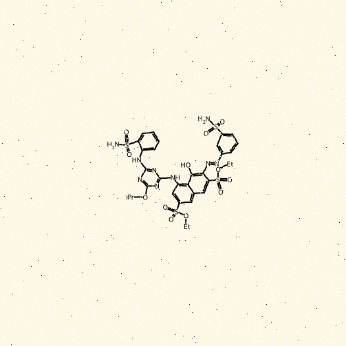 CCOS(=O)(=O)c1cc(Nc2nc(Nc3ccccc3S(N)(=O)=O)nc(OC(C)C)n2)c2c(O)c(N=Nc3cccc(S(N)(=O)=O)c3)c(S(=O)(=O)OCC)cc2c1